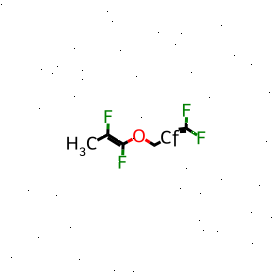 CC(F)=C(F)O[CH2][Cf]=[C](F)F